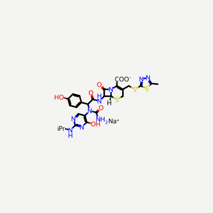 Cc1nnc(SCC2=C(C(=O)[O-])N3C(=O)C(NC(=O)C(c4ccc(O)cc4)N(C(N)=O)c4cnc(NC(C)C)nc4O)[C@H]3SC2)s1.[Na+]